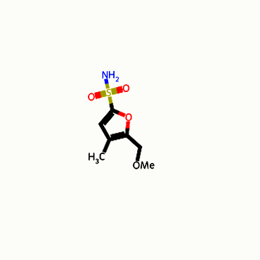 COCc1oc(S(N)(=O)=O)cc1C